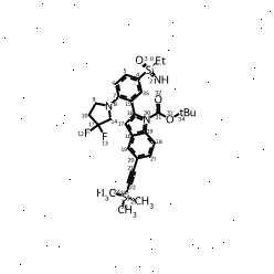 CC[S@@](=N)(=O)c1ccc(N2CCC(F)(F)C2)c(-c2cc3cc(C#C[Si](C)(C)C)ccc3n2C(=O)OC(C)(C)C)c1